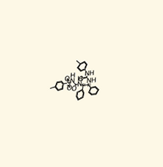 Cc1ccc(NC(=O)N[C@H](c2ccccc2)[C@H](NC(=O)NS(=O)(=O)c2ccc(C)cc2)c2ccccc2)cc1